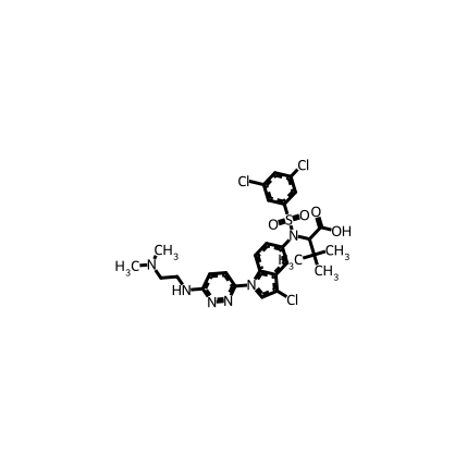 CN(C)CCNc1ccc(-n2cc(Cl)c3cc(N(C(C(=O)O)C(C)(C)C)S(=O)(=O)c4cc(Cl)cc(Cl)c4)ccc32)nn1